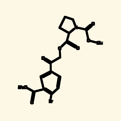 COC(=O)c1cc(C(=O)COC(=O)C2CCCN2C(=O)OC(C)(C)C)ccc1Br